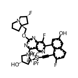 Cc1nc(-c2cc(O)cc3ccc(F)c(C#C[Si](C(C)C)(C(C)C)C(C)C)c23)c(F)c2nc(OC[C@@]34CCCN3C[C@H](F)C4)nc(N3CC[C@H](O)C3)c12